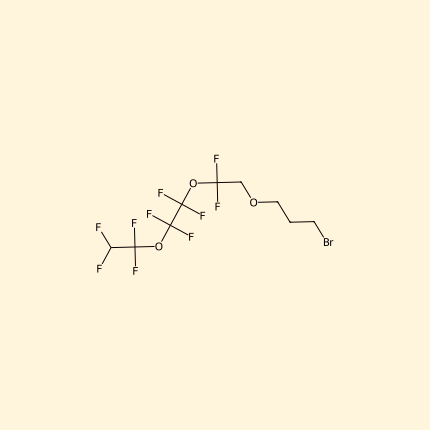 FC(F)C(F)(F)OC(F)(F)C(F)(F)OC(F)(F)COCCCBr